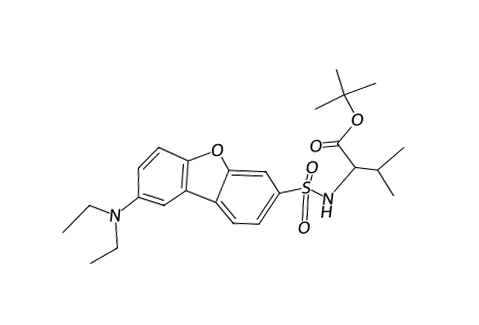 CCN(CC)c1ccc2oc3cc(S(=O)(=O)NC(C(=O)OC(C)(C)C)C(C)C)ccc3c2c1